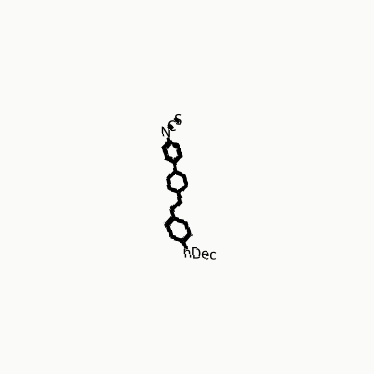 CCCCCCCCCCC1CCC(CCC2CCC(c3ccc(N=C=S)cc3)CC2)CC1